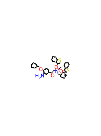 CC(Oc1csc2ccccc12)(Oc1csc2ccccc12)N(CC(=O)c1ccc(OCc2ccccc2)c(N)c1)Cc1ccccc1